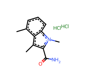 Cc1cccc2c1c(C)c(C(N)=O)n2C.Cl.Cl